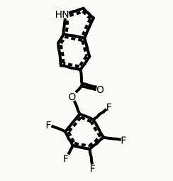 O=C(Oc1c(F)c(F)c(F)c(F)c1F)c1ccc2[nH]ccc2c1